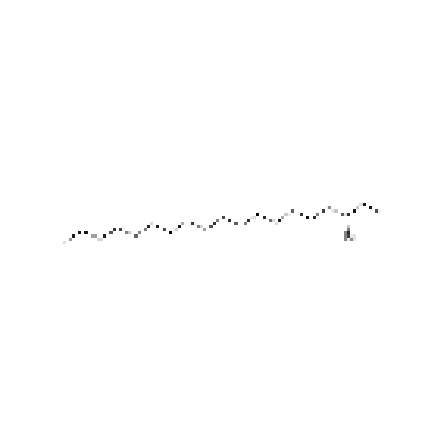 CCCCCCCCCCCCCCCCC(Br)CC